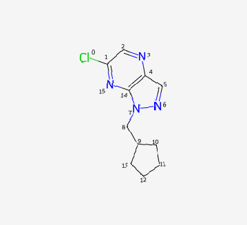 Clc1cnc2cnn(CC3CCCC3)c2n1